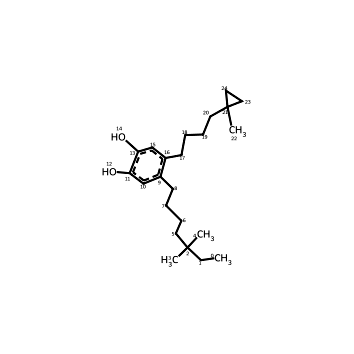 CCC(C)(C)CCCCc1cc(O)c(O)cc1CCCCC1(C)CC1